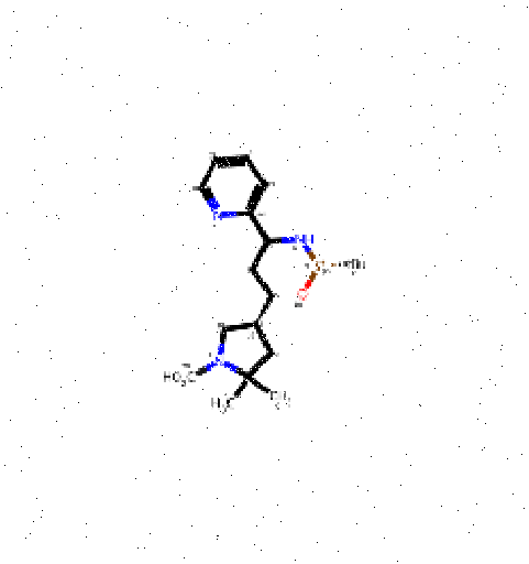 CC1(C)C[C@H](CCC(N[S@@+]([O-])C(C)(C)C)c2ccccn2)CN1C(=O)O